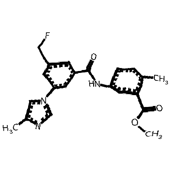 COC(=O)c1cc(NC(=O)c2cc(CF)cc(-n3cnc(C)c3)c2)ccc1C